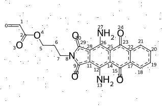 C=CC(=O)OCCCn1c(=O)c2c(N)c3c(=O)c4ccccc4c(=O)c3c(N)c2c1=O